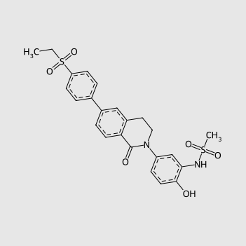 CCS(=O)(=O)c1ccc(-c2ccc3c(c2)CCN(c2ccc(O)c(NS(C)(=O)=O)c2)C3=O)cc1